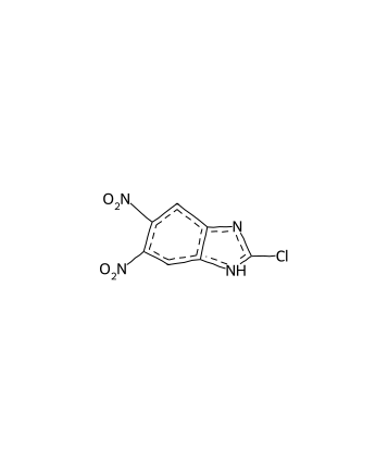 O=[N+]([O-])c1cc2nc(Cl)[nH]c2cc1[N+](=O)[O-]